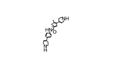 Cc1sc(C(=O)Nc2ccc(C3=CCNCC3)cc2)cc1C1=CCNCC1